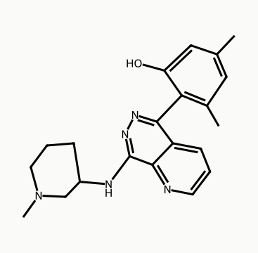 Cc1cc(C)c(-c2nnc(NC3CCCN(C)C3)c3ncccc23)c(O)c1